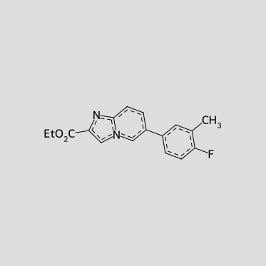 CCOC(=O)c1cn2cc(-c3ccc(F)c(C)c3)ccc2n1